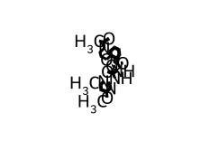 COc1cc(C)nc(NC(=O)NS(=O)(=O)c2cccc3c2OCCN3C(C)=O)n1